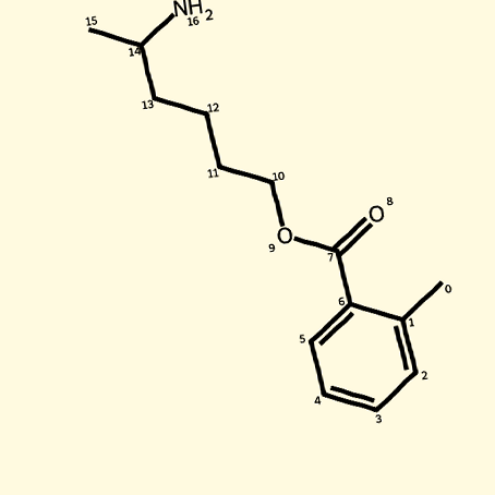 Cc1ccccc1C(=O)OCCCCC(C)N